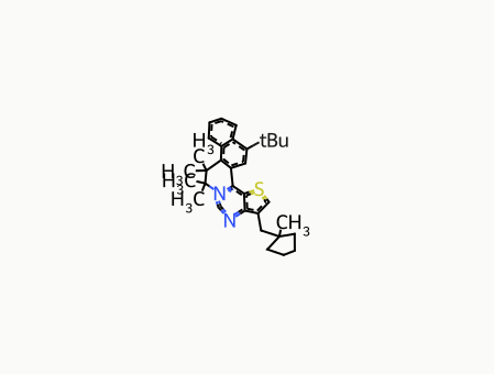 CC1(Cc2csc3c4[n+](cnc23)C(C)(C)C(C)(C)c2c-4cc(C(C)(C)C)c3ccccc23)CCCC1